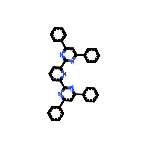 c1ccc(-c2cc(-c3ccccc3)nc(-c3cccc(-c4nc(-c5ccccc5)cc(-c5ccccc5)n4)n3)n2)cc1